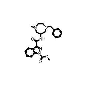 COC(=O)n1nc(C(=O)NC2CN(C)CCN(Cc3ccccc3)C2)c2ccccc21